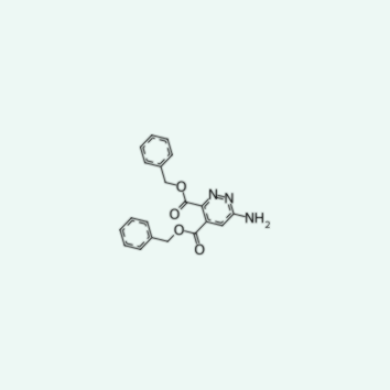 Nc1cc(C(=O)OCc2ccccc2)c(C(=O)OCc2ccccc2)nn1